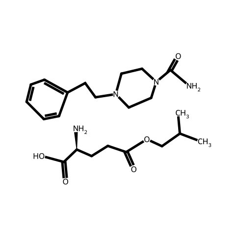 CC(C)COC(=O)CC[C@H](N)C(=O)O.NC(=O)N1CCN(CCc2ccccc2)CC1